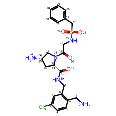 NCc1ccc(Cl)cc1CNC(=O)[C@@H]1C[C@H](N)CN1C(=O)CNS(=O)(=O)Cc1ccccc1